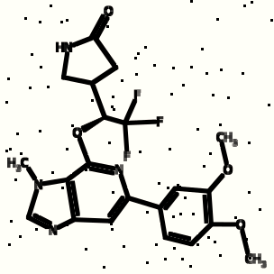 COc1ccc(-c2cc3ncn(C)c3c(O[C@@H](C3CNC(=O)C3)C(F)(F)F)n2)cc1OC